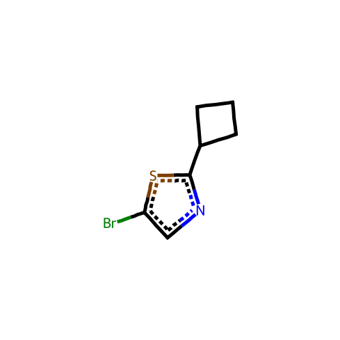 Brc1cnc(C2CCC2)s1